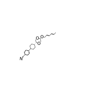 C/C=C/C=C/CO[C@H]1CO[C@H](C2CCC(c3ccc(C#N)cc3)CC2)CO1